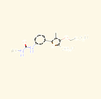 Cc1c(-c2cccc(NC(=O)NC(C)C)c2)sc(C(=O)O)c1OCC(=O)O